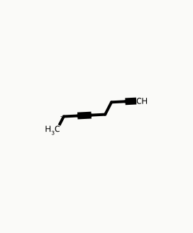 C#CCCC#C[CH]C